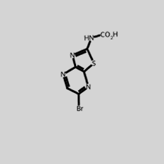 O=C(O)Nc1nc2ncc(Br)nc2s1